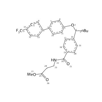 CCCCC(Oc1ccc(-c2ccc(C(F)(F)F)cc2)cc1)c1ccc(C(=O)NCCC(=O)OC)cc1